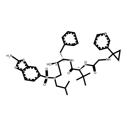 CC(C)CN(C[C@@H](O)[C@H](Cc1ccccc1)NC(=O)[C@@H](NC(=O)CNC1(c2cccnc2)CC1)C(C)(C)C)S(=O)(=O)c1ccc2nc(N)sc2c1